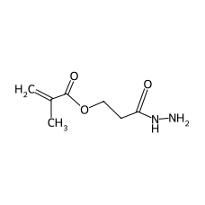 C=C(C)C(=O)OCCC(=O)NN